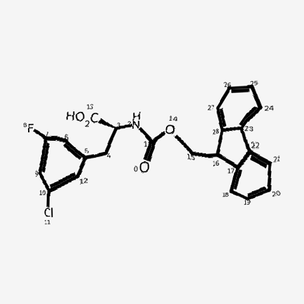 O=C(N[C@@H](Cc1cc(F)cc(Cl)c1)C(=O)O)OCC1c2ccccc2-c2ccccc21